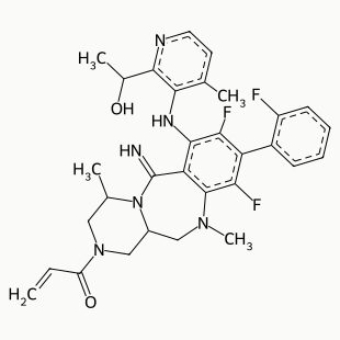 C=CC(=O)N1CC(C)N2C(=N)c3c(Nc4c(C)ccnc4C(C)O)c(F)c(-c4ccccc4F)c(F)c3N(C)CC2C1